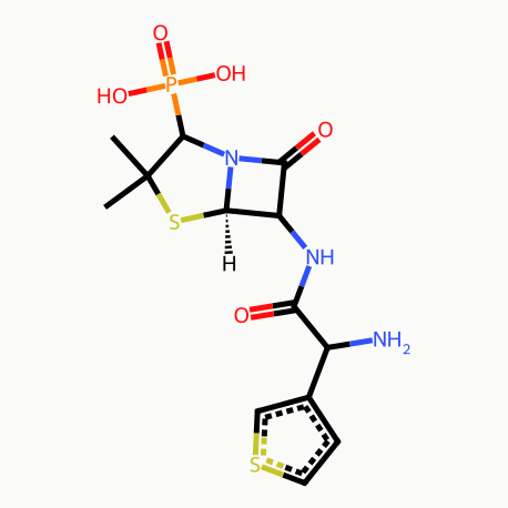 CC1(C)S[C@@H]2C(NC(=O)C(N)c3ccsc3)C(=O)N2C1P(=O)(O)O